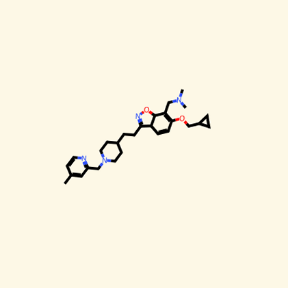 Cc1ccnc(CN2CCC(CCC3=NOC4C(CN(C)C)=C(OCC5CC5)C=CC34)CC2)c1